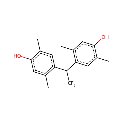 Cc1cc(C(c2cc(C)c(O)cc2C)C(F)(F)F)c(C)cc1O